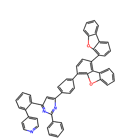 c1ccc(-c2nc(-c3ccc(-c4ccc(-c5cccc6c5oc5ccccc56)c5c4oc4ccccc45)cc3)cc(-c3ccccc3-c3ccncc3)n2)cc1